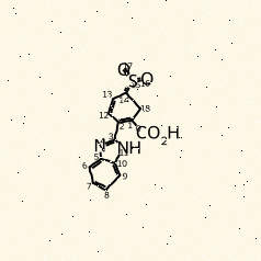 O=C(O)C1=C(c2nc3ccccc3[nH]2)C=CC(=S(=O)=O)C1